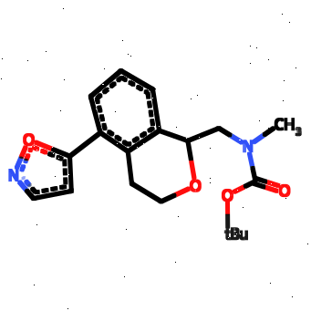 CN(CC1OCCc2c(-c3ccno3)cccc21)C(=O)OC(C)(C)C